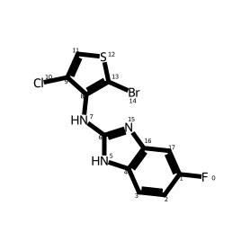 Fc1ccc2[nH]c(Nc3c(Cl)csc3Br)nc2c1